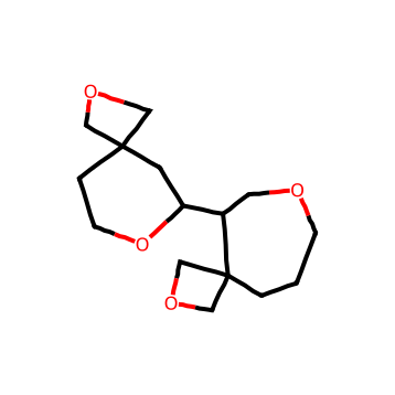 C1COCC(C2CC3(CCO2)COC3)C2(C1)COC2